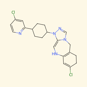 ClC1=CC2=C(CC1)CN1C=NN(C3CCC(c4cc(Cl)ccn4)CC3)C1=CN2